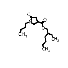 CCCCC(CC)COC(=O)C1CC(=O)N(CCCC)C1